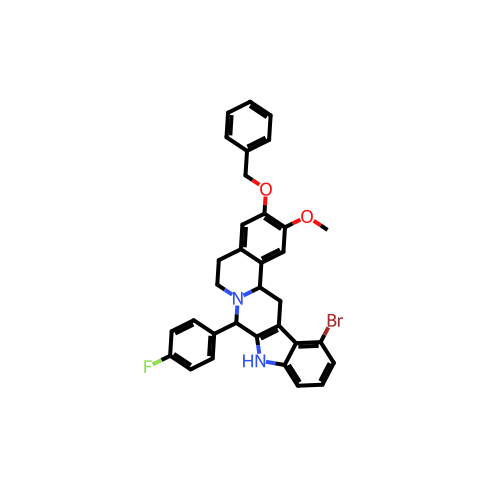 COc1cc2c(cc1OCc1ccccc1)CCN1C2Cc2c([nH]c3cccc(Br)c23)C1c1ccc(F)cc1